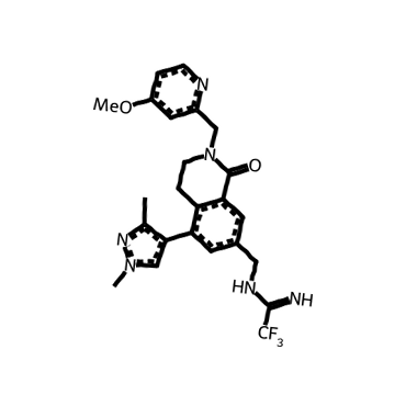 COc1ccnc(CN2CCc3c(cc(CNC(=N)C(F)(F)F)cc3-c3cn(C)nc3C)C2=O)c1